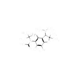 Cc1c(Br)c2c(c(C)c1N(C(=O)O)C(C)(C)C)C(N(C)C)C(C)(C)O2